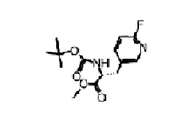 COC(=O)[C@@H](Cc1ccc(F)nc1)NC(=O)OC(C)(C)C